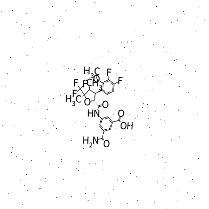 COc1c([C@H]2[C@H](C(=O)Nc3cc(C(N)=O)cc(C(=O)O)c3)O[C@@](C)(C(F)(F)F)[C@H]2C)ccc(F)c1F